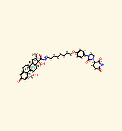 C[C@@H]1C[C@H]2[C@H](C[C@H](O)[C@@]3(F)[C@H]2CCC2=CC(=O)C=C[C@@]23C)[C@@]1(O)C(=O)NCCCCCCCCOc1ccc(N2CCN(C3CCC(=O)NC3=O)C2=O)cc1